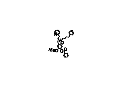 COc1cc(CN(CCc2ccccn2)C(=O)CCCCc2ccccc2)ccc1OC(=O)c1ccccc1